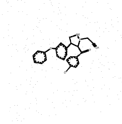 C#CCN1NCC(c2cccc(Oc3ccccc3)c2)C1C(=O)c1ccc(Cl)cc1